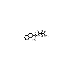 CCC(CC)(C(N)=O)C(=O)NS(=O)(=O)c1ccc2ccccc2c1.Cl